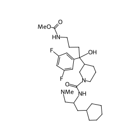 CNCC(CC1CCCCC1)NC(=O)N1CCCC(C(O)(CCCNC(=O)OC)c2cc(F)cc(F)c2)C1